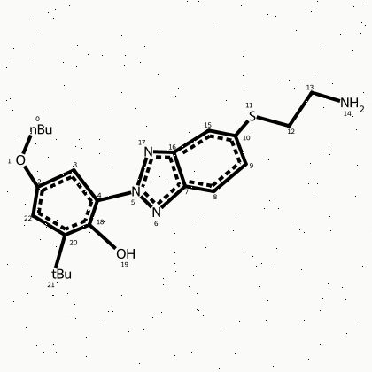 CCCCOc1cc(-n2nc3ccc(SCCN)cc3n2)c(O)c(C(C)(C)C)c1